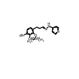 COc1c(C(C)(C)C)ccc(CCC=NNc2ccncc2)c1O[SiH](C)C